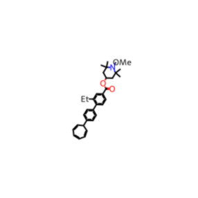 CCc1cc(C(=O)OC2CC(C)(C)N(OC)C(C)(C)C2)ccc1-c1ccc(C2C=CC=CC=C2)cc1